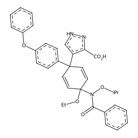 CCOC1(N(OC(C)C)C(=O)c2ccccc2)C=CC(c2ccc(Oc3ccccc3)cc2)(c2c[nH]nc2C(=O)O)C=C1